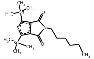 CCCCCCN1C(=O)c2[c]([Sn]([CH3])([CH3])[CH3])s[c]([Sn]([CH3])([CH3])[CH3])c2C1=O